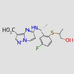 CC(CO)Sc1ccc(F)cc1[C@@H](C)Nc1ccn2ncc(C(=O)O)c2n1